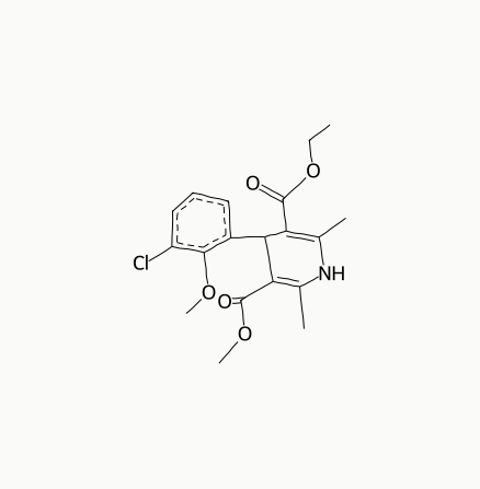 CCOC(=O)C1=C(C)NC(C)=C(C(=O)OC)C1c1cccc(Cl)c1OC